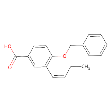 CC/C=C\c1cc(C(=O)O)ccc1OCc1ccccc1